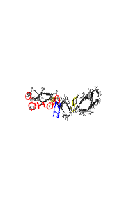 Cc1ccc(S(=O)(=O)Nc2ccc(SCc3ccc4ccccc4c3)cc2)cc1C(=O)O